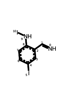 N=Cc1cc(I)ccc1NI